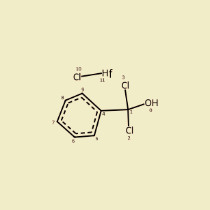 OC(Cl)(Cl)c1ccccc1.[Cl][Hf]